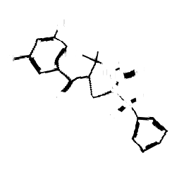 CC(C)(F)C(CN([SH](=O)=O)S(=O)(=O)c1ccccc1)C(=O)c1cc(Cl)cc(Cl)c1